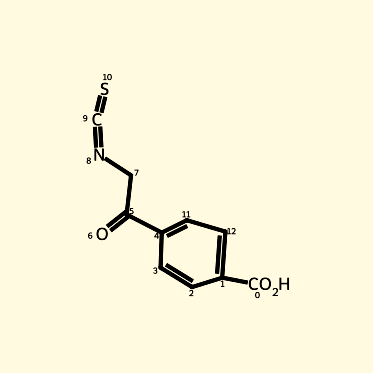 O=C(O)c1ccc(C(=O)CN=C=S)cc1